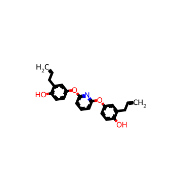 C=CCc1cc(Oc2cccc(Oc3ccc(O)c(CC=C)c3)n2)ccc1O